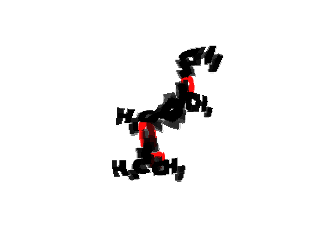 CCCCOC=C(C)c1ccc(C(C)=COCCC(C)OC)cc1